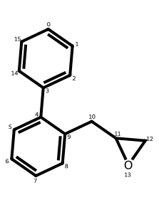 c1ccc(-c2ccccc2CC2CO2)cc1